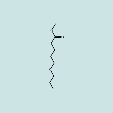 CCCOCCCCC(=O)OC